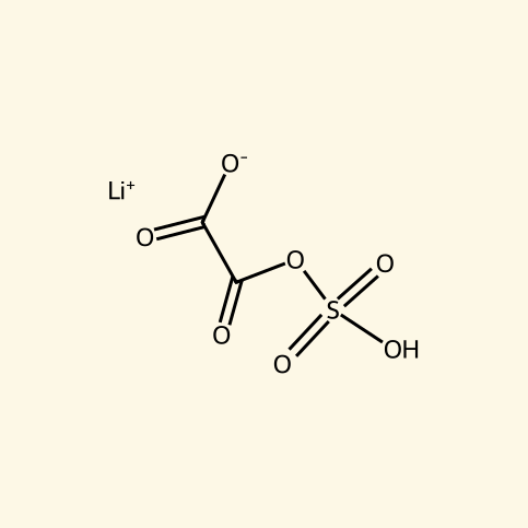 O=C([O-])C(=O)OS(=O)(=O)O.[Li+]